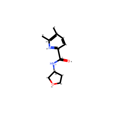 Cc1ccc(C(=O)N[C@H]2CCOC2)nc1C